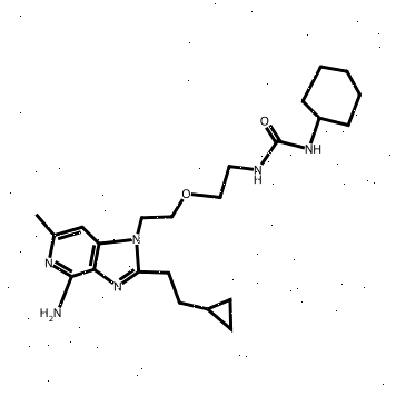 Cc1cc2c(nc(CCC3CC3)n2CCOCCNC(=O)NC2CCCCC2)c(N)n1